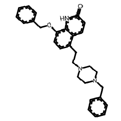 O=c1ccc2c(CCN3CCN(Cc4ccccc4)CC3)ccc(OCc3ccccc3)c2[nH]1